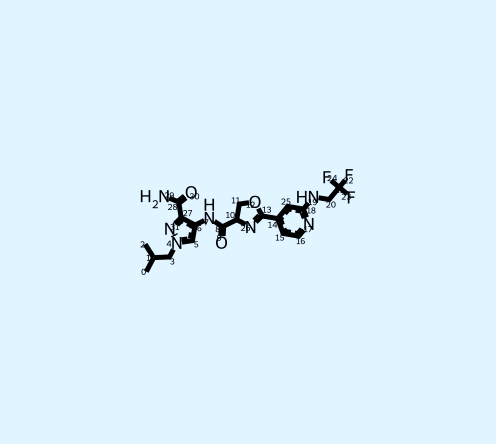 CC(C)Cn1cc(NC(=O)C2COC(c3ccnc(NCC(F)(F)F)c3)=N2)c(C(N)=O)n1